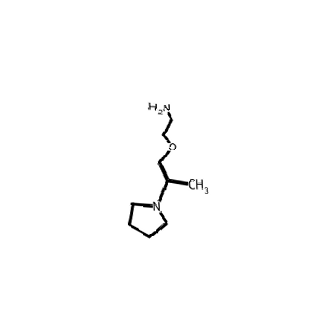 CC(COCCN)N1CCCC1